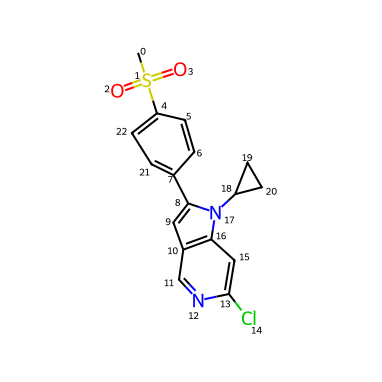 CS(=O)(=O)c1ccc(-c2cc3cnc(Cl)cc3n2C2CC2)cc1